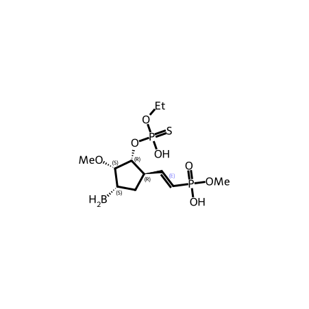 B[C@H]1C[C@H](/C=C/P(=O)(O)OC)[C@@H](OP(O)(=S)OCC)[C@H]1OC